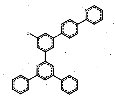 Clc1cc(-c2ccc(-c3ccccn3)cc2)cc(-c2nc(-c3ccccc3)cc(-c3ccccc3)n2)c1